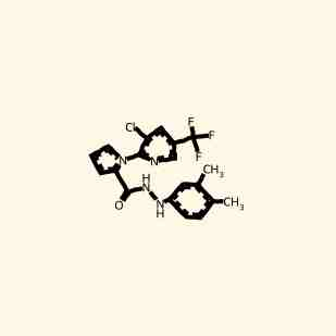 Cc1ccc(NNC(=O)c2cccn2-c2ncc(C(F)(F)F)cc2Cl)cc1C